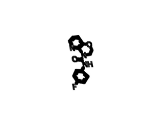 O=C(Nc1ccc(F)cc1)N1CCOc2cccnc21